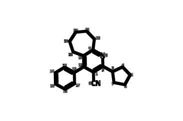 N#Cc1c(C2CCCC2)nc2c(c1-c1ccccc1)CCCCC2